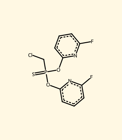 Fc1cccc(OP(=S)(CCl)Oc2cccc(F)n2)n1